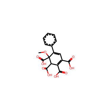 COC1(C(=O)O)C(c2ccccc2)=CC(C(=O)O)=C(C(=O)O)C1C(=O)O